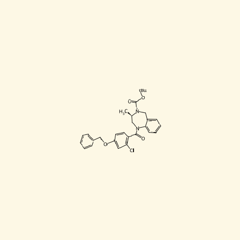 C[C@@H]1CN(C(=O)c2ccc(OCc3ccccc3)cc2Cl)c2ccccc2CN1C(=O)OC(C)(C)C